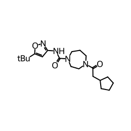 CC(C)(C)c1cc(NC(=O)N2CCCN(C(=O)CC3CCCC3)CC2)no1